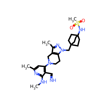 CNc1nc(C)cc(N2CCc3c(c(C)nn3CC34CCC(NS(C)(=O)=O)(CC3)CC4)C2)c1C=N